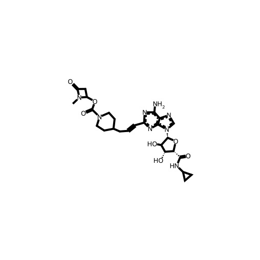 CN1C(=O)CC1OC(=O)N1CCC(CC#Cc2nc(N)c3ncn([C@@H]4O[C@H](C(=O)NC5CC5)[C@H](O)C4O)c3n2)CC1